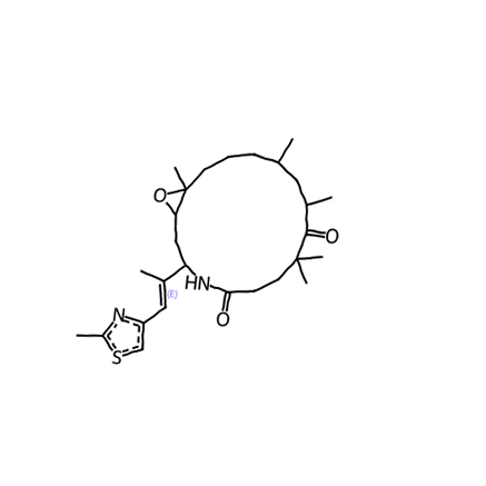 C/C(=C\c1csc(C)n1)C1CC2OC2(C)CCCC(C)CC(C)C(=O)C(C)(C)CCC(=O)N1